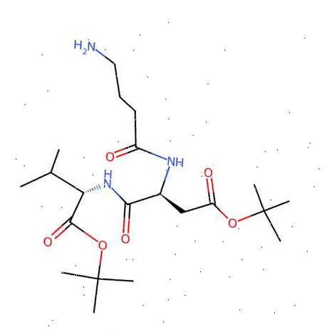 CC(C)[C@H](NC(=O)[C@H](CC(=O)OC(C)(C)C)NC(=O)CCCN)C(=O)OC(C)(C)C